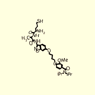 COc1cc(C(=O)N(C(C)C)C(C)C)ccc1OCCCCOc1ccc2c(NC(=O)C(C)NC(=O)C(N)CCCS)noc2c1